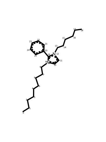 CCCCCCCCC[n+]1ccn(CCCCCC)c1-c1ccccc1